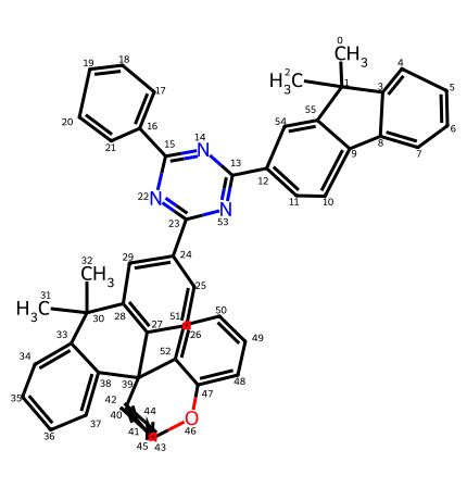 CC1(C)c2ccccc2-c2ccc(-c3nc(-c4ccccc4)nc(-c4ccc5c(c4)C(C)(C)c4ccccc4C54c5ccccc5Oc5ccccc54)n3)cc21